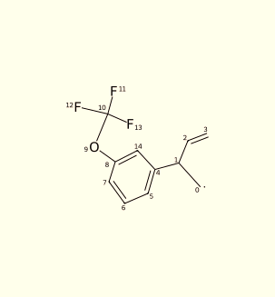 [CH2]C(C=C)c1cccc(OC(F)(F)F)c1